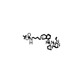 C=C/N=c1/nccc(N2CCC[C@@H]2COc2cccc3c2CN(CCCCNC(=O)OC(C)(C)C)CC3)n1N